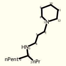 CCCCCC(CCC)NCCCN1CCCCC1